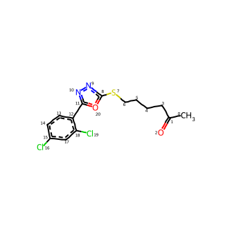 CC(=O)CCCCSc1nnc(-c2ccc(Cl)cc2Cl)o1